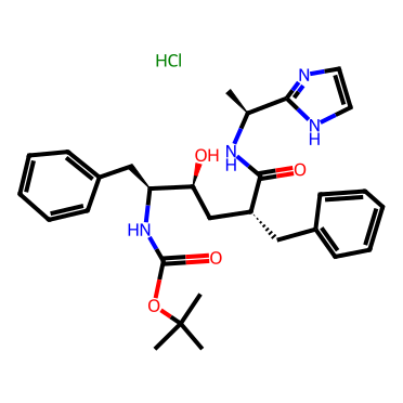 C[C@H](NC(=O)[C@H](Cc1ccccc1)C[C@H](O)[C@H](Cc1ccccc1)NC(=O)OC(C)(C)C)c1ncc[nH]1.Cl